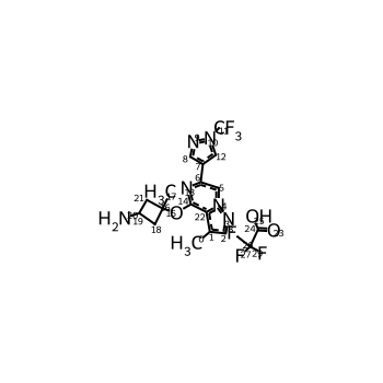 Cc1cnn2cc(-c3cnn(C(F)(F)F)c3)nc(OC3(C)CC(N)C3)c12.O=C(O)C(F)(F)F